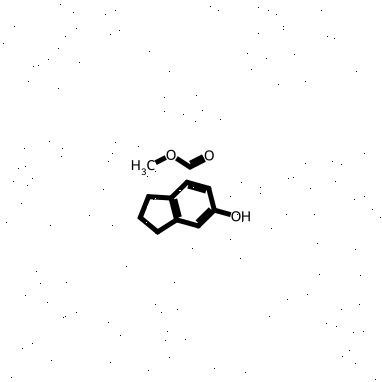 COC=O.Oc1ccc2c(c1)CCC2